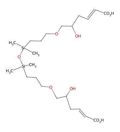 C[Si](C)(CCCOCC(O)CC=CC(=O)O)O[Si](C)(C)CCCOCC(O)CC=CC(=O)O